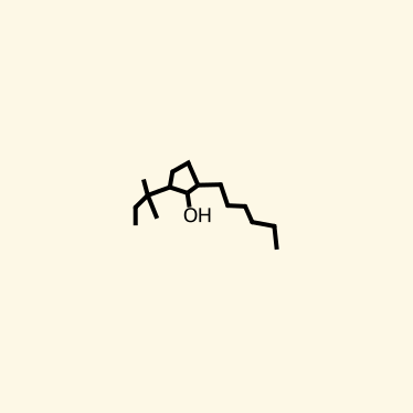 CCCCCCC1CCC(C(C)(C)CC)C1O